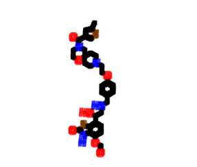 Cc1cc(C(=O)N2CCOC3(CCN(CCOc4ccc(CNCC(O)c5ccc(OC=O)c6[nH]c(=O)sc56)cc4)CC3)C2)cs1